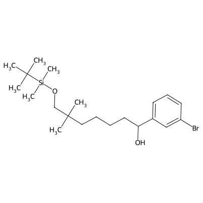 CC(C)(CCCCC(O)c1cccc(Br)c1)CO[Si](C)(C)C(C)(C)C